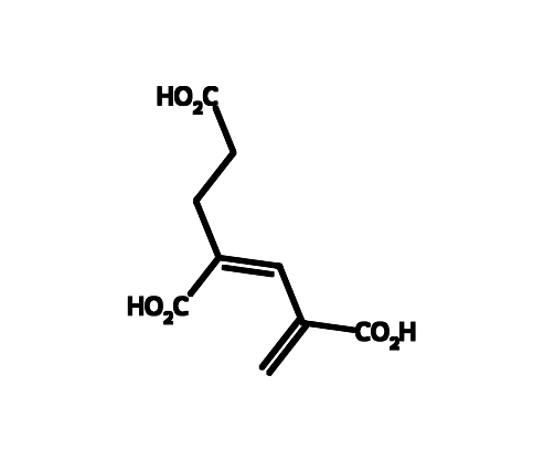 C=C(C=C(CCC(=O)O)C(=O)O)C(=O)O